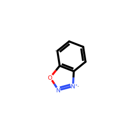 [c]1cccc2c1ON=[N+]2